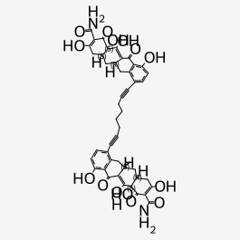 NC(=O)C1=C(O)C[C@@H]2C[C@@H]3Cc4c(C#CCCCCC#Cc5ccc(O)c6c5C[C@@H]5C[C@@H]7CC(O)=C(C(N)=O)C(=O)[C@@]7(O)C(O)=C5C6=O)ccc(O)c4C(=O)C3=C(O)[C@]2(O)C1=O